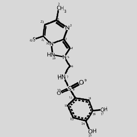 CC1=NC2=CN(CNS(=O)(=O)c3ccc(O)c(O)c3)NN2C([S])=C1